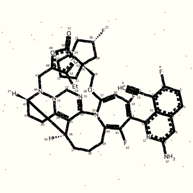 C#Cc1c(F)ccc2cc(N)nc(C3=C(F)C=C(OC[C@@]45CCCN4C[C@H](F)C5)N4C5=NCN6C7=C5[C@@H](CCCC4=C3F)[C@H](CC7)N6Cc3oc(=O)oc3CC)c12